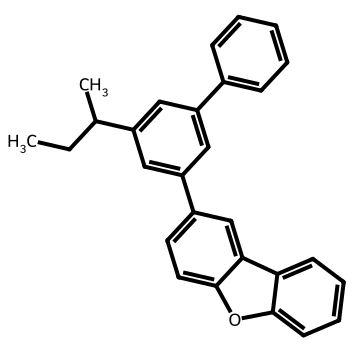 CCC(C)c1cc(-c2ccccc2)cc(-c2ccc3oc4ccccc4c3c2)c1